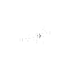 CCCCC(C(=O)O)N(c1ccc2ccc(N)cc2c1)S(=O)(=O)c1cc(Cl)cc(Cl)c1